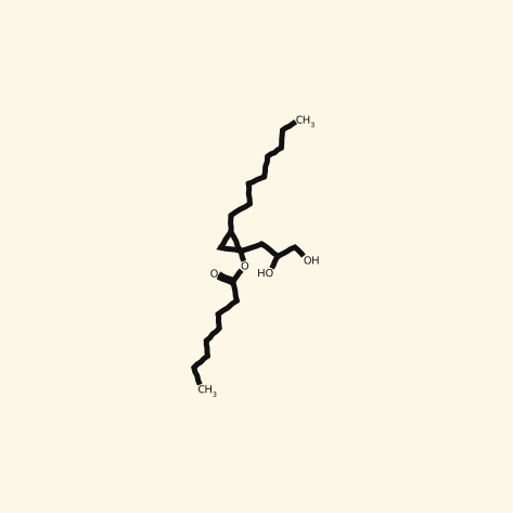 CCCCCCCCC1CC1(CC(O)CO)OC(=O)CCCCCCC